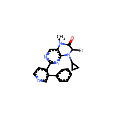 CCC1C(=O)N(C)c2cnc(-c3ccncc3-c3ccccc3)nc2N1C1CC1